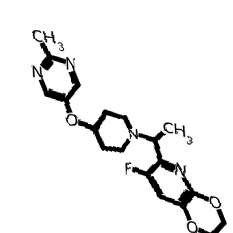 Cc1ncc(OC2CCN(C(C)c3nc4c(cc3F)OCCO4)CC2)cn1